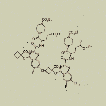 CCOC(=O)CCC(NC(=O)c1cc(OC2(C(=O)O)CCC2)c2cc(F)c(C)cc2n1)C(=O)N1CCN(C(=O)OCC)CC1.CCOC(=O)N1CCN(C(=O)C(CCC(=O)OC(C)C)NC(=O)c2cc(OC3(C(=O)O)CCC3)c3cc(F)c(C)cc3n2)CC1